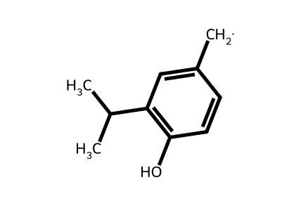 [CH2]c1ccc(O)c(C(C)C)c1